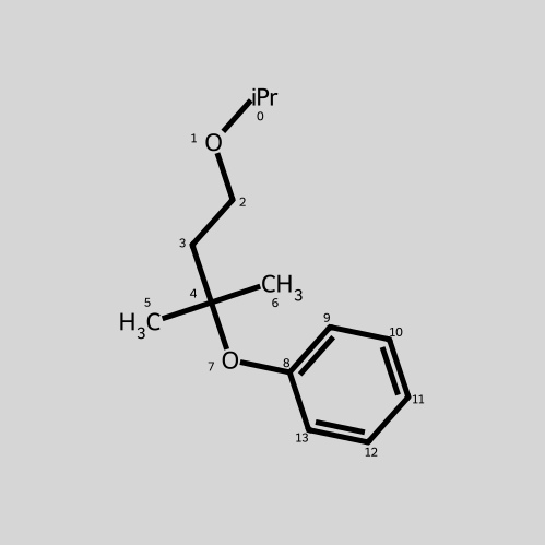 CC(C)OCCC(C)(C)Oc1ccccc1